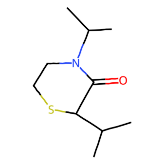 CC(C)C1SCCN(C(C)C)C1=O